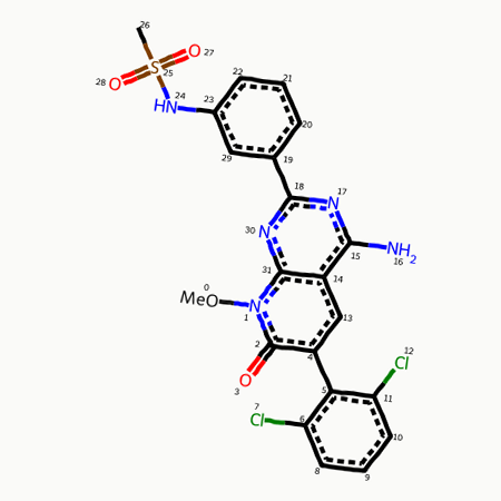 COn1c(=O)c(-c2c(Cl)cccc2Cl)cc2c(N)nc(-c3cccc(NS(C)(=O)=O)c3)nc21